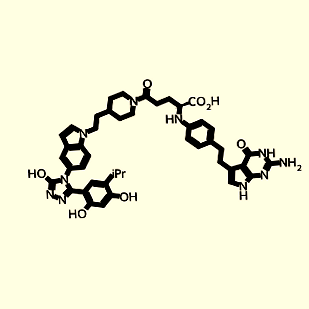 CC(C)c1cc(-c2nnc(O)n2-c2ccc3c(ccn3CCC3CCN(C(=O)CC[C@H](Nc4ccc(CCc5c[nH]c6nc(N)[nH]c(=O)c56)cc4)C(=O)O)CC3)c2)c(O)cc1O